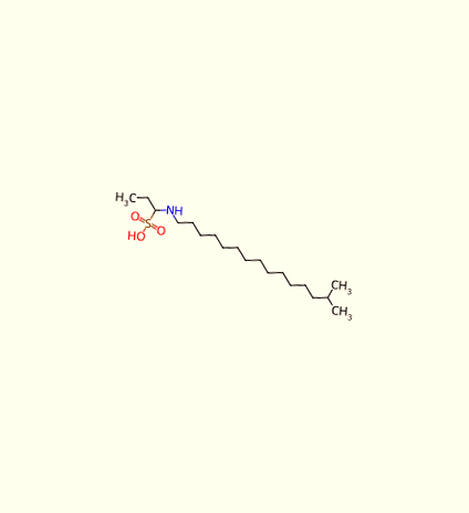 CCC(NCCCCCCCCCCCCCC(C)C)S(=O)(=O)O